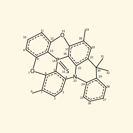 Cc1ccc2c3c1Oc1cccc4c1P3(=S)c1c(c(C)cc3c1N2c1ccccc1C3(C)C)O4